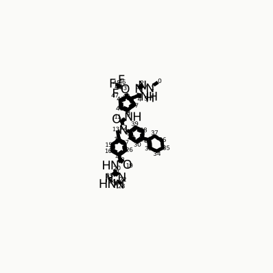 CN/N=N\C(=N)c1cc(NC(=O)N(Cc2ccc(C(=O)Nc3nn[nH]n3)cc2)c2ccc(C3=CCCCC3)cc2)ccc1OC(F)(F)F